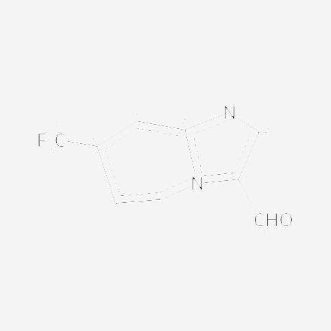 O=Cc1cnc2cc(C(F)(F)F)ccn12